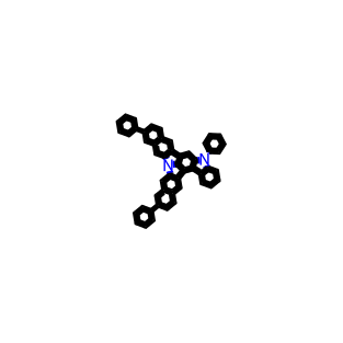 c1ccc(-c2ccc3cc4c5cc6c(c7ccccc7n6-c6ccccc6)c6c7cc8ccc(-c9ccccc9)cc8cc7n(c4cc3c2)c56)cc1